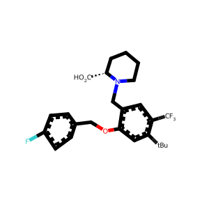 CC(C)(C)c1cc(OCc2ccc(F)cc2)c(CN2CCCC[C@H]2C(=O)O)cc1C(F)(F)F